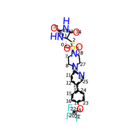 C[C@]1(CS(=O)(=O)N2CCN(c3ccc(-c4ccc(OC(F)(F)F)cc4)cn3)CC2)NC(=O)NC1=O